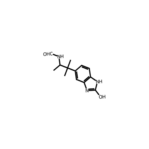 CC(NC=O)C(C)(C)c1ccc2[nH]c(O)nc2c1